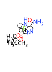 CC1(F)CCCC1Nc1c(C(N)=O)cnn2cc(B3OC(C)(C)C(C)(C)O3)cc12